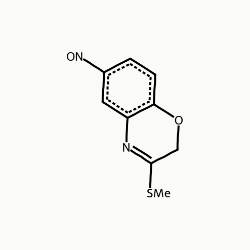 CSC1=Nc2cc(N=O)ccc2OC1